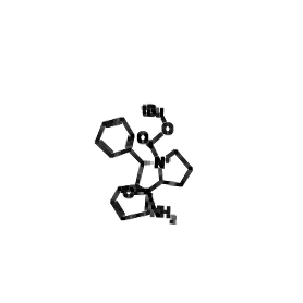 CC(C)(C)OC(=O)[N@@+]1(C(c2ccccc2)c2ccccc2)CCCC1C(N)=O